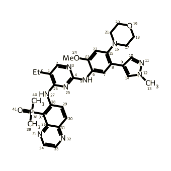 CCc1cnc(Nc2cc(-c3cnn(C)c3)c(N3CCOCC3)cc2OC)nc1Nc1ccc2nccnc2c1P(C)(C)=O